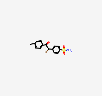 Cc1ccc(C(=O)C(Br)c2ccc(S(N)(=O)=O)cc2)cc1